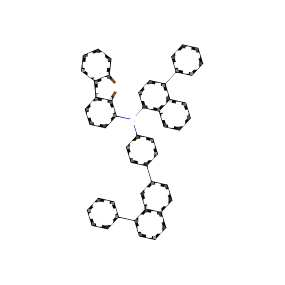 c1ccc(-c2cccc3ccc(-c4ccc(N(c5ccc(-c6ccccc6)c6ccccc56)c5cccc6c5sc5ccccc56)cc4)cc23)cc1